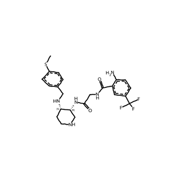 CSc1ccc(CN[C@H]2CCNC[C@H]2NC(=O)CNC(=O)c2cc(C(F)(F)F)ccc2N)cc1